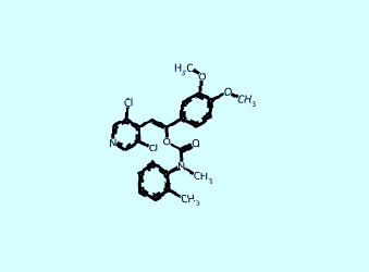 COc1ccc(C(=Cc2c(Cl)cncc2Cl)OC(=O)N(C)c2ccccc2C)cc1OC